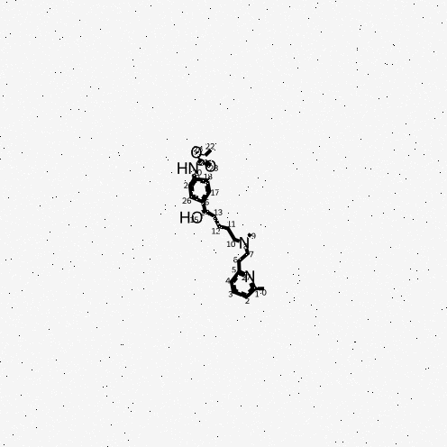 Cc1cccc(CCN(C)CCCCC(O)c2ccc(NS(C)(=O)=O)cc2)n1